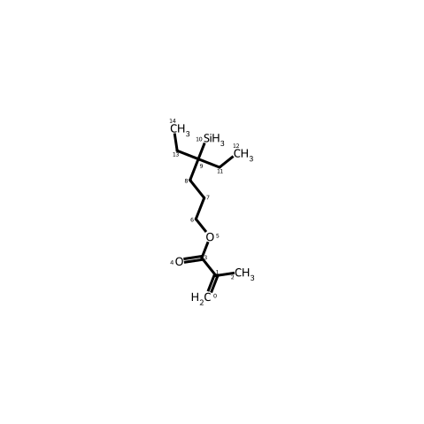 C=C(C)C(=O)OCCCC([SiH3])(CC)CC